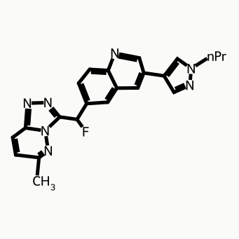 CCCn1cc(-c2cnc3ccc(C(F)c4nnc5ccc(C)nn45)cc3c2)cn1